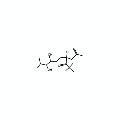 CC(=O)CC(O)(CC[C@H](O)[C@@H](O)C(C)C)C(=O)C(C)(C)C